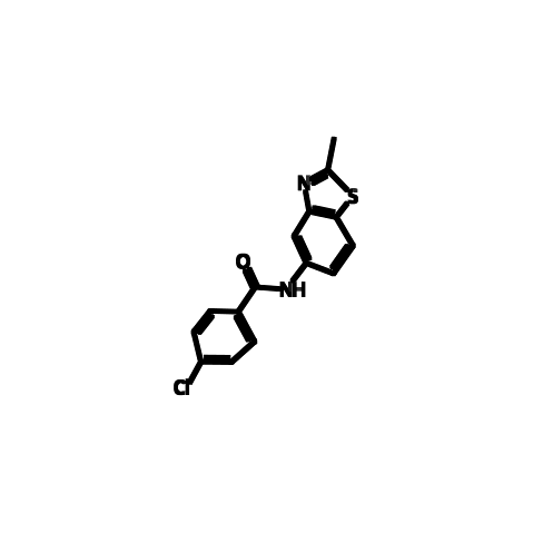 Cc1nc2cc(NC(=O)c3ccc(Cl)cc3)ccc2s1